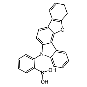 OB(O)c1ccccc1-n1c2ccccc2c2c3oc4c(c3ccc21)C=CCC4